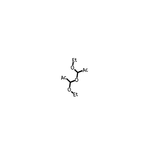 CCOC(OC(OCC)C(C)=O)C(C)=O